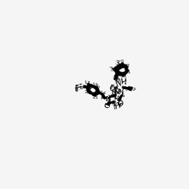 C#CCN1CC(=O)N2[C@@H](C(C)C)C(=O)N(CCc3ccc(F)cc3)C[C@@H]2N1C(=O)NCc1ccccc1